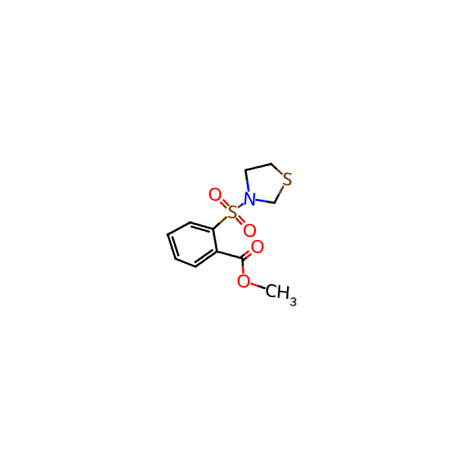 COC(=O)c1ccccc1S(=O)(=O)N1CCSC1